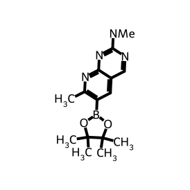 CNc1ncc2cc(B3OC(C)(C)C(C)(C)O3)c(C)nc2n1